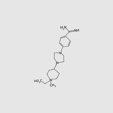 C[N+]1(CC(=O)O)CCC(N2CCN(c3ccc(C(=N)N)cc3)CC2)CC1